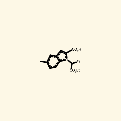 CCOC(=O)C(CC)n1c(C(=O)O)cc2cc(C)ccc21